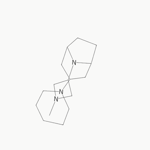 CN1CC(N2C3CCC2CC(N2CCCCC2)C3)C1